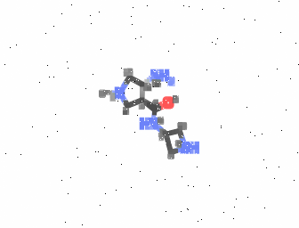 CN1C[C@H](C(=O)NC2CNC2)[C@@H](N)C1